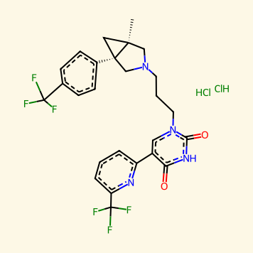 C[C@]12CN(CCCn3cc(-c4cccc(C(F)(F)F)n4)c(=O)[nH]c3=O)C[C@@]1(c1ccc(C(F)(F)F)cc1)C2.Cl.Cl